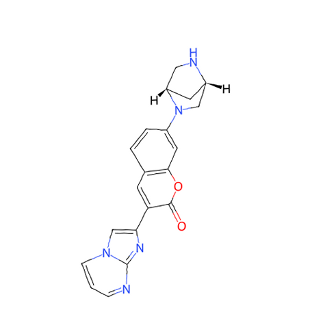 O=c1oc2cc(N3C[C@@H]4C[C@H]3CN4)ccc2cc1-c1cn2cccnc2n1